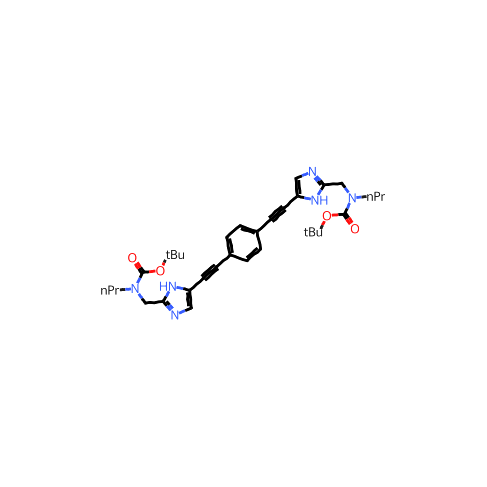 CCCN(Cc1ncc(C#Cc2ccc(C#Cc3cnc(CN(CCC)C(=O)OC(C)(C)C)[nH]3)cc2)[nH]1)C(=O)OC(C)(C)C